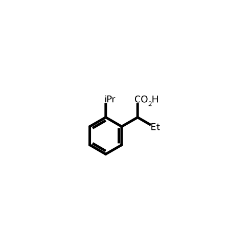 CCC(C(=O)O)c1ccccc1C(C)C